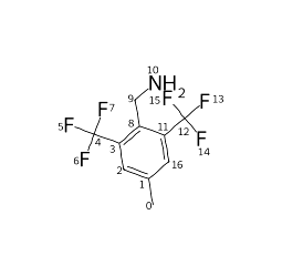 Cc1cc(C(F)(F)F)c(CN)c(C(F)(F)F)c1